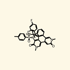 Cc1ccc(S(=O)(=O)n2c(-c3ccc(F)cc3F)cc3c(-c4cc(=O)n(C)cc4-c4cccc(C(C)(C)O)c4)cn(C)c(=O)c32)cc1